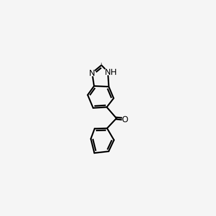 O=C(c1ccccc1)c1ccc2n[c][nH]c2c1